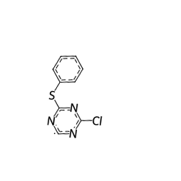 Clc1n[c]nc(Sc2ccccc2)n1